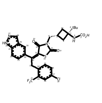 CC(C)(C)[C@]1(NC(=O)O)C[C@H](CN2C(=O)SC(=C(Cc3ccc(Cl)cc3C(F)(F)F)c3ccc4[nH]ncc4c3)C2=O)C1